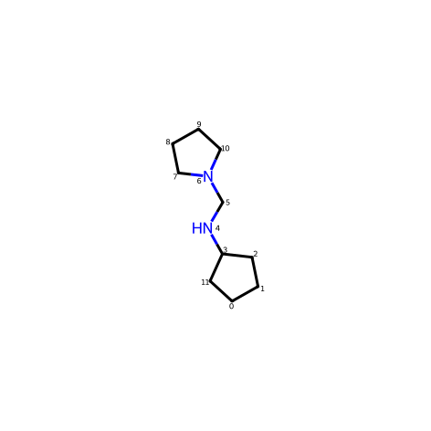 C1CCC(NCN2CCCC2)C1